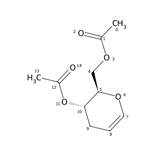 CC(=O)OC[C@H]1OC=CC[C@@H]1OC(C)=O